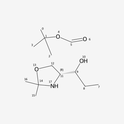 CC(C)(C)OC=O.CCC(O)[C@H]1COC(C)(C)N1